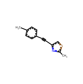 Cc1ccc(C#Cc2csc(C)n2)cc1